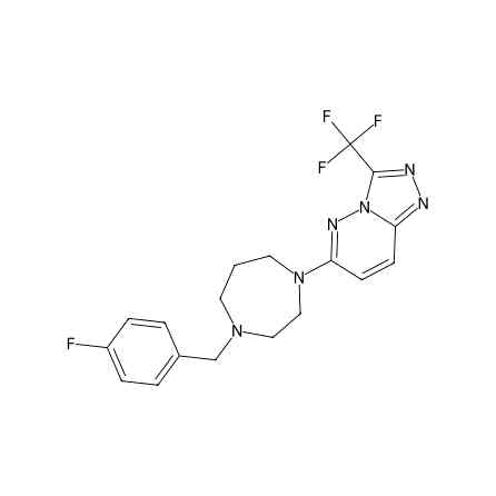 Fc1ccc(CN2CCCN(c3ccc4nnc(C(F)(F)F)n4n3)CC2)cc1